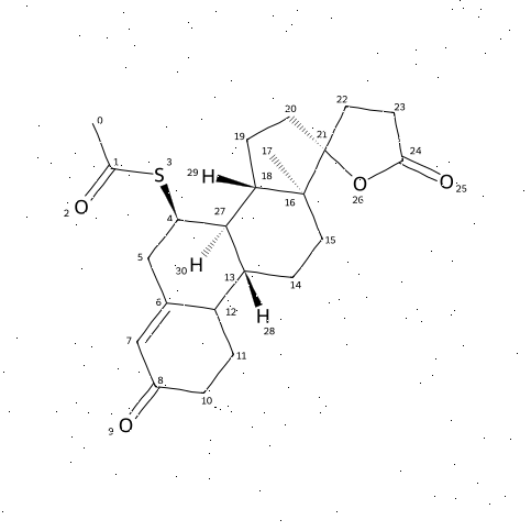 CC(=O)S[C@@H]1CC2=CC(=O)CCC2[C@H]2CC[C@@]3(C)[C@@H](CC[C@@]34CCC(=O)O4)[C@@H]21